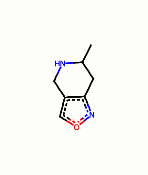 CC1Cc2nocc2CN1